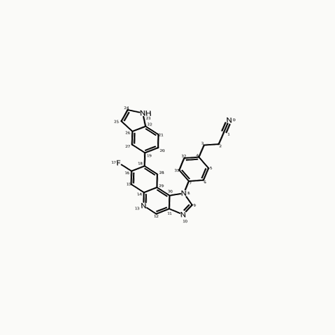 N#CCCc1ccc(-n2cnc3cnc4cc(F)c(-c5ccc6[nH]ccc6c5)cc4c32)cc1